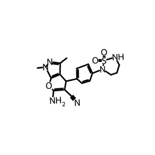 Cc1nn(C)c2c1C(c1ccc(N3CCCNS3(=O)=O)cc1)C(C#N)=C(N)O2